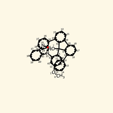 COc1ccc(C2(O)c3c(-c4ccccc4)cccc3-c3cccc(-c4ccccc4)c32)c(-n2cnc3ccccc32)c1